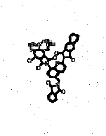 CCCCSc1c(Cl)c2c(c(SCCCC)c1SCCCC)C(=O)N(c1ccc(CN3C(=O)c4ccccc4C3=O)c3ccc(C4C(=O)c5cc6ccccc6cc5C4=O)nc13)C2=O